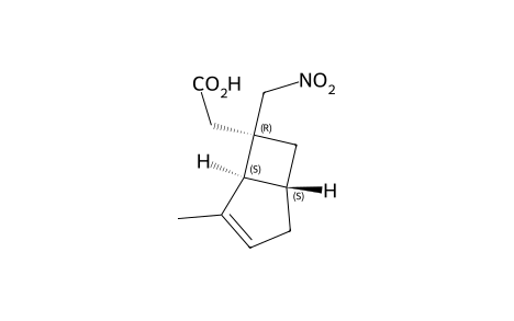 CC1=CC[C@H]2C[C@](CC(=O)O)(C[N+](=O)[O-])[C@H]12